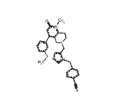 COc1cccc(-c2cc(=O)n(C)c3c2CN(Cc2cncn2Cc2ccc(C#N)cc2)CC3)c1